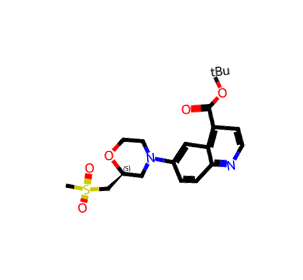 CC(C)(C)OC(=O)c1ccnc2ccc(N3CCO[C@H](CS(C)(=O)=O)C3)cc12